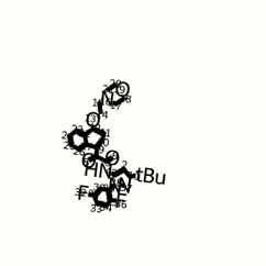 CC(C)(C)c1cc(NC(=O)C(=O)c2ccc(OCCN3CCOCC3)c3ccccc23)n(-c2cc(F)ccc2F)n1